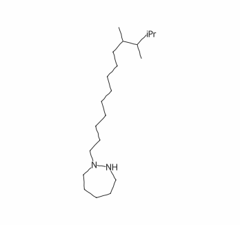 CC(C)C(C)C(C)CCCCCCCCCN1CCCCCN1